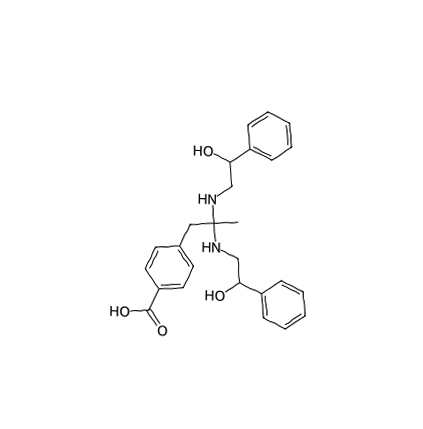 CC(Cc1ccc(C(=O)O)cc1)(NCC(O)c1ccccc1)NCC(O)c1ccccc1